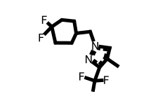 Cc1cn(CC2CCC(F)(F)CC2)nc1C(C)(F)F